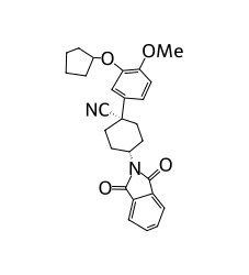 COc1ccc([C@]2(C#N)CC[C@@H](N3C(=O)c4ccccc4C3=O)CC2)cc1OC1CCCC1